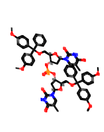 COc1ccc(C(OC[C@H]2O[C@@H](n3cc(C)c(=O)[nH]c3=O)C[C@@H]2O[PH](=O)O[C@H]2C[C@H](n3cc(C)c(=O)[nH]c3=O)O[C@@H]2COC(c2ccccc2)(c2ccc(OC)cc2)c2ccc(OC)cc2)(c2ccccc2)c2ccc(OC)cc2)cc1